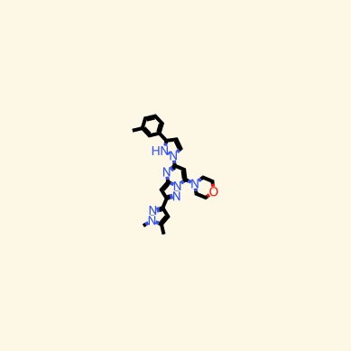 Cc1cccc(C2C=CN(c3cc(N4CCOCC4)n4nc(-c5cc(C)n(C)n5)cc4n3)N2)c1